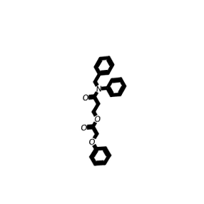 O=C(COc1ccccc1)OCCC(=O)N(Cc1ccccc1)c1ccccc1